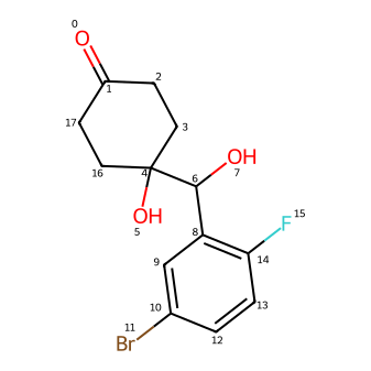 O=C1CCC(O)(C(O)c2cc(Br)ccc2F)CC1